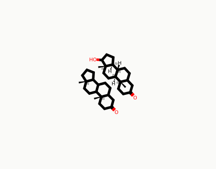 C[C@@]12CCCC1C1CCC3CC(=O)CC[C@]3(C)C1CC2.C[C@]12CCC(=O)CC1CC[C@@H]1[C@@H]2CC[C@]2(C)C(O)CC[C@@H]12